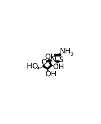 NC1=CN(C2(O)O[C@@H](CO)[C@H](O)[C@@H]2O)[CH]S1